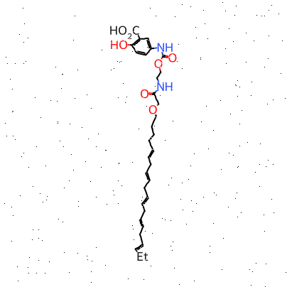 CCC=CCC=CCC=CCC=CCC=CCCCCOCC(=O)NCCOC(=O)Nc1ccc(O)c(C(=O)O)c1